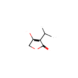 CCCCCC(CC)C1=C(O)COC1=O